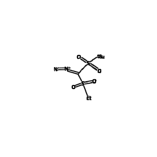 CCS(=O)(=O)C(=[N+]=[N-])S(=O)(=O)C(C)(C)C